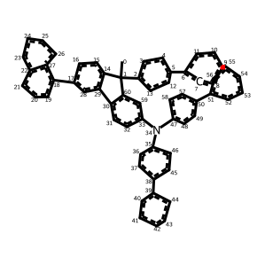 CC1(c2ccc(-c3ccccc3)cc2)c2ccc(-c3cccc4ccccc34)cc2-c2ccc(N(c3ccc(-c4ccccc4)cc3)c3ccc(-c4ccccc4)cc3)cc21